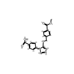 COC(=O)c1ccc(CSc2nnnn2-c2ccc(C(=O)O)cc2)cc1